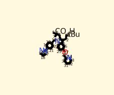 CC(C)(C)CCc1c(CC(C)(C)C(=O)O)n(Cc2ccc(-n3cccn3)cc2)c2ccc(OCc3ccccn3)cc12